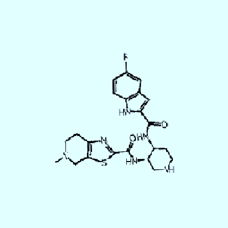 CN1CCc2nc(C(=O)N[C@@H]3CNCC[C@@H]3NC(=O)c3cc4cc(F)ccc4[nH]3)sc2C1